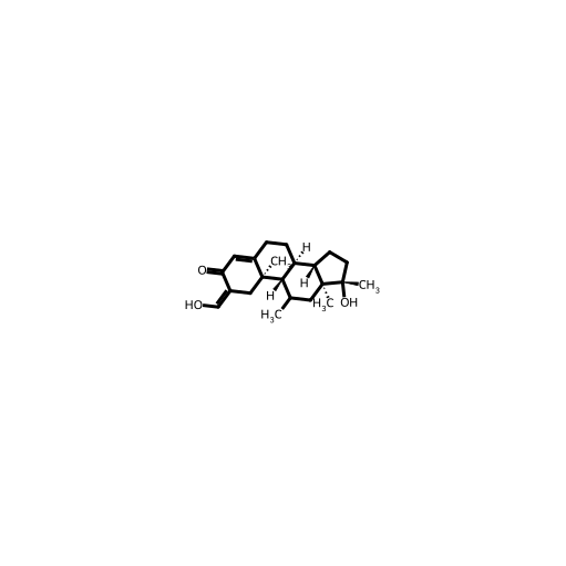 CC1C[C@@]2(C)[C@@H](CC[C@]2(C)O)[C@@H]2CCC3=CC(=O)/C(=C\O)C[C@]3(C)[C@@H]12